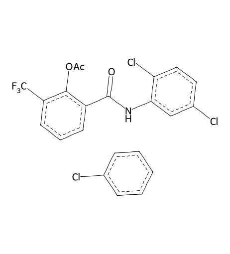 CC(=O)Oc1c(C(=O)Nc2cc(Cl)ccc2Cl)cccc1C(F)(F)F.Clc1ccccc1